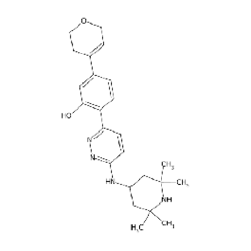 CC1(C)CC(Nc2ccc(-c3ccc(C4=CCOCC4)cc3O)nn2)CC(C)(C)N1